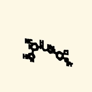 CC(C)Oc1ccc(-n2cc(CNc3cc(C#N)nc(-c4cn[nH]c4)c3)nn2)cc1Cl